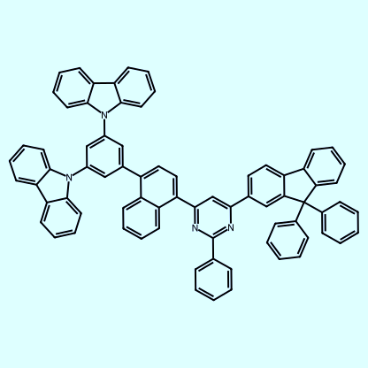 c1ccc(-c2nc(-c3ccc4c(c3)C(c3ccccc3)(c3ccccc3)c3ccccc3-4)cc(-c3ccc(-c4cc(-n5c6ccccc6c6ccccc65)cc(-n5c6ccccc6c6ccccc65)c4)c4ccccc34)n2)cc1